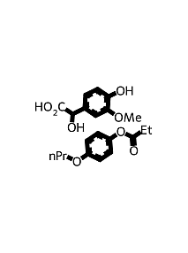 CCCOc1ccc(OC(=O)CC)cc1.COc1cc(C(O)C(=O)O)ccc1O